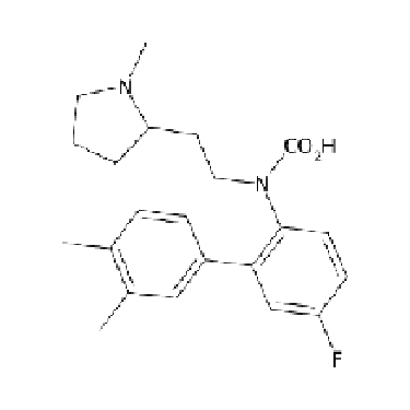 Cc1ccc(-c2cc(F)ccc2N(CCC2CCCN2C)C(=O)O)cc1C